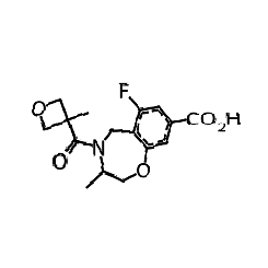 CC1COc2cc(C(=O)O)cc(F)c2CN1C(=O)C1(C)COC1